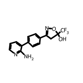 Nc1ncccc1-c1ccc(C2=NOC(O)(C(F)(F)F)C2)cc1